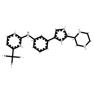 FC(F)(F)c1ccnc(Nc2cccc(-c3cnc(C4COCCO4)s3)c2)n1